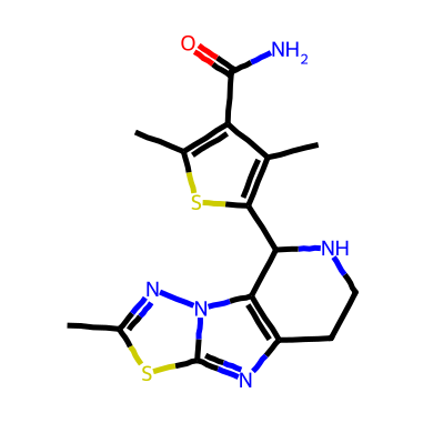 Cc1nn2c3c(nc2s1)CCNC3c1sc(C)c(C(N)=O)c1C